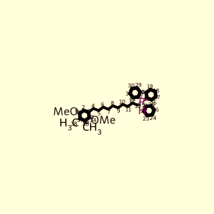 COc1cc(CCCCCCCCCC[PH](c2ccccc2)(c2ccccc2)c2ccccc2)c(OC)c(C)c1C